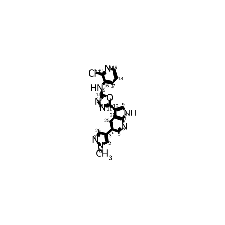 Cn1cc(-c2cnc3[nH]cc(-c4nnc(Nc5cccnc5Cl)o4)c3c2)cn1